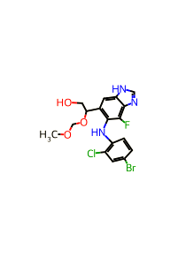 COCOC(CO)c1cc2[nH]cnc2c(F)c1Nc1ccc(Br)cc1Cl